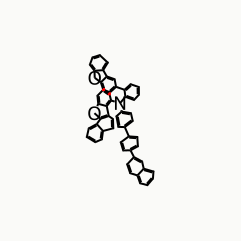 c1ccc(N(c2ccc(-c3ccc(-c4ccc5ccccc5c4)cc3)cc2)c2cccc3oc4c5ccccc5ccc4c23)c(-c2ccc3oc4ccccc4c3c2)c1